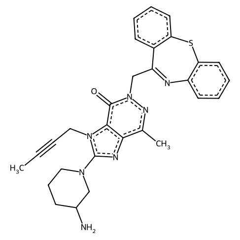 CC#CCn1c(N2CCCC(N)C2)nc2c(C)nn(CC3=Nc4ccccc4Sc4ccccc43)c(=O)c21